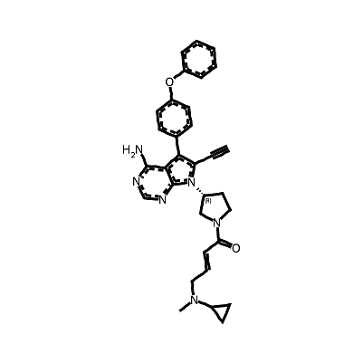 C#Cc1c(-c2ccc(Oc3ccccc3)cc2)c2c(N)ncnc2n1[C@@H]1CCN(C(=O)C=CCN(C)C2CC2)C1